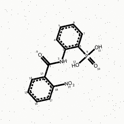 O=C(Nc1ccccc1P(=O)(O)O)c1ccccc1[N+](=O)[O-]